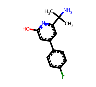 CC(C)(N)c1cc(-c2ccc(F)cc2)cc(O)n1